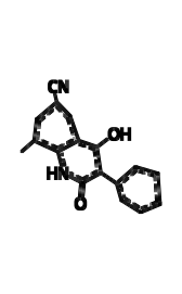 Cc1cc(C#N)cc2c(O)c(-c3ccccc3)c(=O)[nH]c12